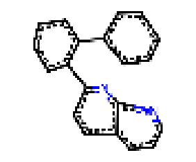 c1ccc(-c2ccccc2-c2ccc3cccnc3n2)cc1